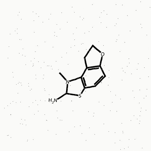 CN1c2c(ccc3c2CCO3)SC1N